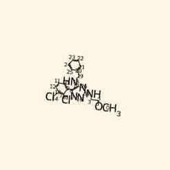 COCCNc1nnc(-c2cccc(Cl)c2Cl)c(NCc2ccccc2)n1